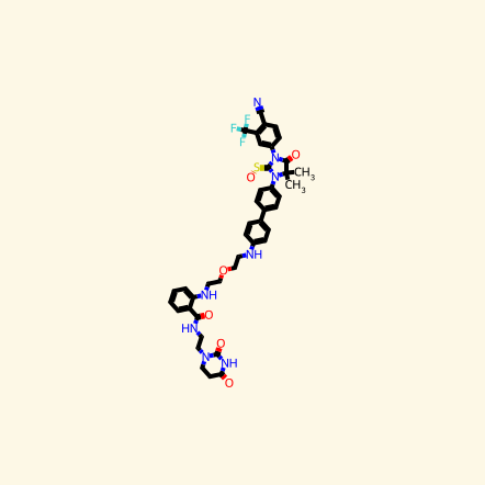 CC1(C)C(=O)N(c2ccc(C#N)c(C(F)(F)F)c2)C(=S=O)N1c1ccc(-c2ccc(NCCOCCNc3ccccc3C(=O)NCCN3CCC(=O)NC3=O)cc2)cc1